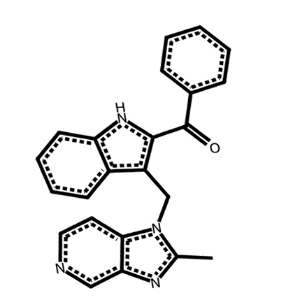 Cc1nc2cnccc2n1Cc1c(C(=O)c2ccccc2)[nH]c2ccccc12